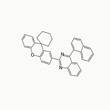 c1ccc2c(c1)Oc1ccc(-c3nc(-c4cccc5ccccc45)c4ccccc4n3)cc1C21CCCCC1